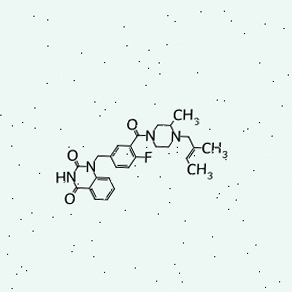 CC=C(C)CN1CCN(C(=O)c2cc(Cn3c(=O)[nH]c(=O)c4ccccc43)ccc2F)CC1C